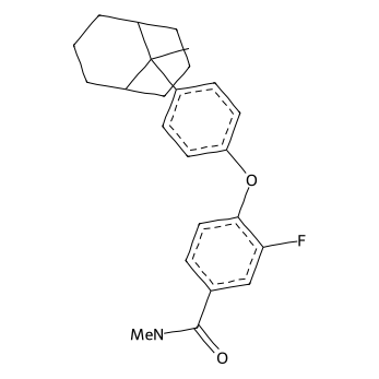 CNC(=O)c1ccc(Oc2ccc(C3(C)C4CCCC3CCC4)cc2)c(F)c1